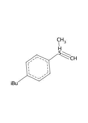 C#[SH](C)c1ccc(C(C)CC)cc1